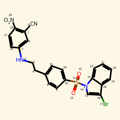 N#Cc1cc(NCCc2ccc(S(=O)(=O)n3cc(Br)c4ccccc43)cc2)ccc1[N+](=O)[O-]